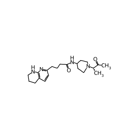 CC(=O)[C@@H](C)N1CCC(NC(=O)CCCc2ccc3c(n2)NCCC3)CC1